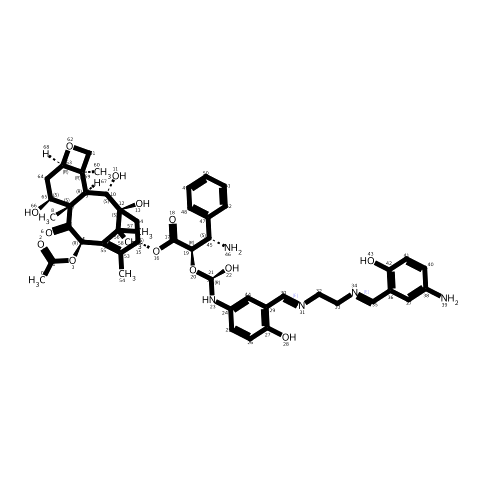 CC(=O)O[C@H]1C(=O)[C@@]2(C)[C@H]([C@H](O)[C@]3(O)C[C@H](OC(=O)[C@H](O[C@@H](O)Nc4ccc(O)c(/C=N/CC/N=C/c5cc(N)ccc5O)c4)[C@@H](N)c4ccccc4)C(C)=C1C3(C)C)[C@]1(C)CO[C@@H]1C[C@@H]2O